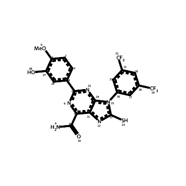 COc1ccc(-c2nc(C(N)=O)c3nc(S)n(-c4cc(C(F)(F)F)cc(C(F)(F)F)c4)c3n2)cc1O